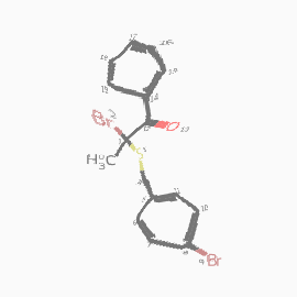 CC(Br)(SCc1ccc(Br)cc1)C(=O)c1ccccc1